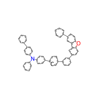 c1ccc(-c2ccc(N(c3ccccc3)c3ccc(-c4ccc(-c5cccc(-c6ccc7oc8ccc(-c9ccccc9)cc8c7c6)c5)cc4)cc3)cc2)cc1